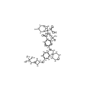 CC1CC2CC(C1)C(NC(=O)c1cnc(N3CC4(CCOCC4)c4cc(OC5CN(CC(F)(F)F)C5)ccc43)nc1C(C)(F)F)(C(=O)O)C2